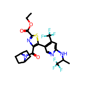 CCOC(=O)c1nc(C(=O)N2C3CCC2CC3)c(-c2cnc(NC(C)C(F)(F)F)cc2C(F)(F)F)s1